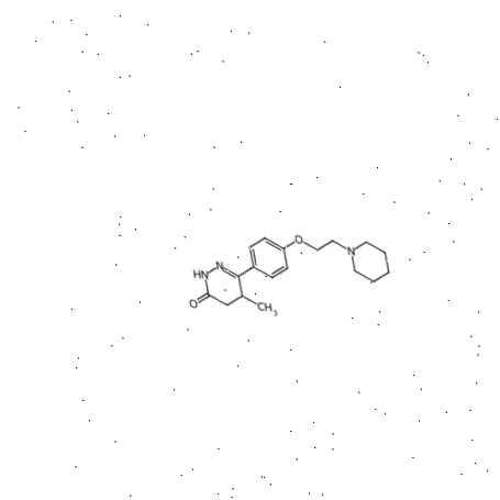 CC1CC(=O)NN=C1c1ccc(OCCN2CCCCC2)cc1